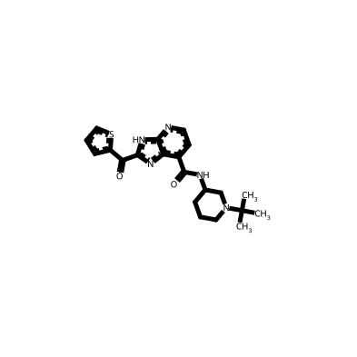 CC(C)(C)N1CCCC(NC(=O)c2ccnc3[nH]c(C(=O)c4cccs4)nc23)C1